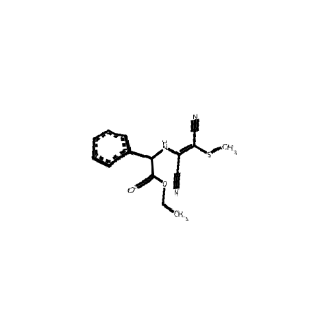 CCOC(=O)C(NC(C#N)=C(C#N)SC)c1ccccc1